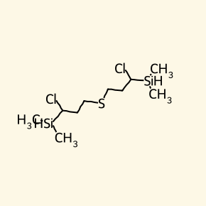 C[SiH](C)C(Cl)CCSCCC(Cl)[SiH](C)C